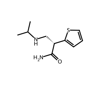 CC(C)NC[C@@H](C(N)=O)c1cccs1